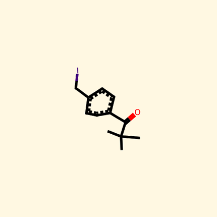 CC(C)(C)C(=O)c1ccc(CI)cc1